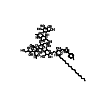 CCCCCCCCCCCCCCCCCC(=O)N[C@@H](CO[C@@H]1OC(CO)[C@@H](O[C@@H]2OC(CO)[C@H](O[C@@H]3OC(CO)[C@H](O)C(O[C@@H]4OC(CO)[C@H](O)C(O)C4O)C3NC(C)=O)C(O[C@]3(C=O)CC(O)C(NC(C)=O)C([C@H](O)[C@H](O)CO)O3)C2O)C(O)C1O)[C@H](O)/C=C/c1nnc(-c2ccc(C)cc2)[nH]1